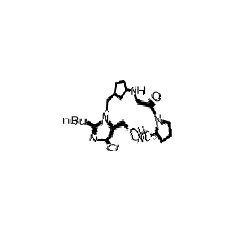 CCCCC1=NC(Cl)C(CO)N1CC1CCC(NCC(=O)N2CCC[C@H]2C#N)C1